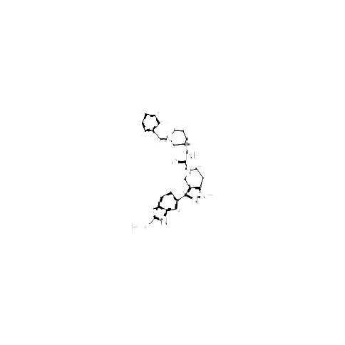 Cc1nc2cc(-c3n[nH]c4c3CN(C(=O)N[C@@H]3CCCN(Cc5ccccc5)C3)CC4)ccc2o1